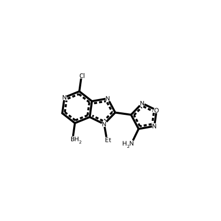 Bc1cnc(Cl)c2nc(-c3nonc3N)n(CC)c12